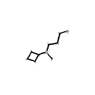 CN(CCCBr)C1CCC1